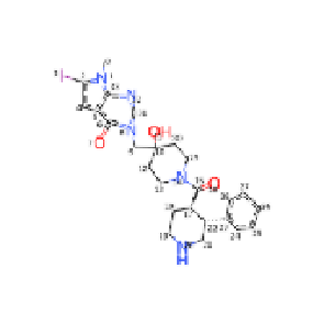 Cn1c(I)cc2c(=O)n(CC3(O)CCN(C(=O)[C@@H]4CCNC[C@H]4c4ccccc4)CC3)cnc21